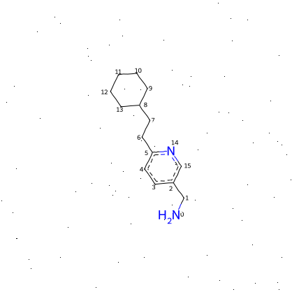 NCc1ccc(CCC2CCCCC2)nc1